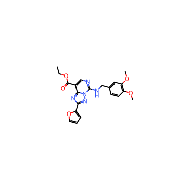 CCOC(=O)c1cnc(NCc2ccc(OC)c(OC)c2)n2nc(-c3ccco3)nc12